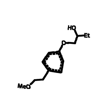 CCC(O)COc1ccc(CCOC)cc1